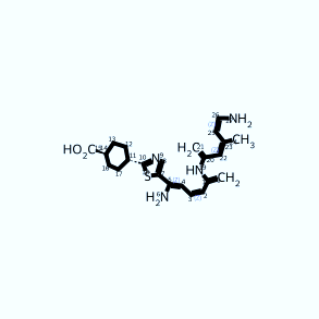 C=C(/C=C\C=C(/N)c1cnc([C@H]2CC[C@H](C(=O)O)CC2)s1)NC(=C)/C=C(C)\C=C/N